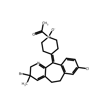 CC(=O)[N+]1([O-])CCC(=C2C3=NCC(C)(Br)C=C3CCc3cc(Cl)ccc32)CC1